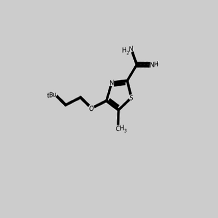 Cc1sc(C(=N)N)nc1OCCC(C)(C)C